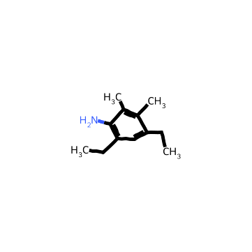 CCc1cc(CC)c(N)c(C)c1C